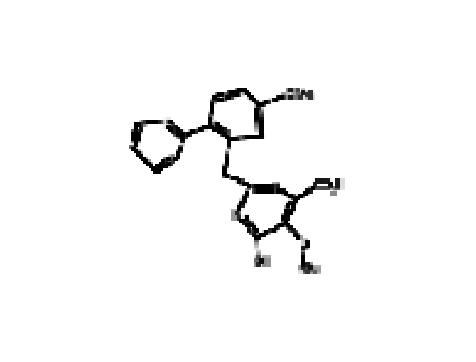 CCCCOc1c(O)nc(Cc2cc(OC)ccc2-c2ccccc2)nc1C(=O)O